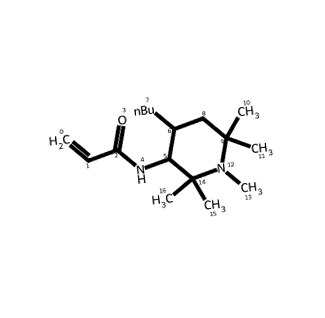 C=CC(=O)NC1C(CCCC)CC(C)(C)N(C)C1(C)C